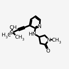 CN1CC(Nc2ncccc2C#C[Si](C)(C)C)CC1=O